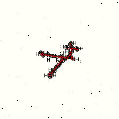 NC1CCN(c2nc(N3CCC(NC(=O)c4cc(OCCCS(=O)(=O)O)c(OCCCS(=O)(=O)O)c(OCCCS(=O)(=O)O)c4)CC3)nc(N3CCC(C(=O)Nc4cc(C(=O)NCCCOCCOCCOCCCNC(=O)CCCCC5SCC6NC(=O)NC65)cc(C(=O)NCCCOCCOCCOCCCNC(=O)CCCCC5SCC6NC(=O)NC65)c4)CC3)n2)CC1